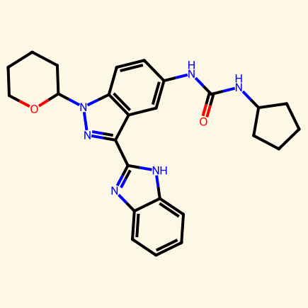 O=C(Nc1ccc2c(c1)c(-c1nc3ccccc3[nH]1)nn2C1CCCCO1)NC1CCCC1